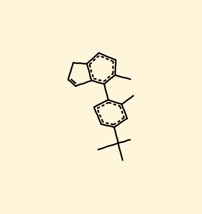 Cc1cc(C(C)(C)C)ccc1-c1c(C)ccc2c1C=CC2